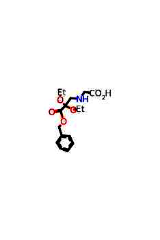 CCOC(CNCC(=O)O)(OCC)C(=O)OCc1ccccc1